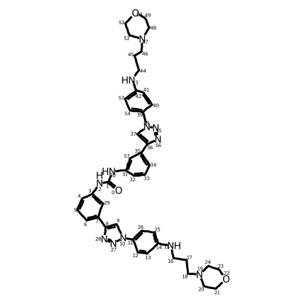 O=C(Nc1cccc(-c2cn(-c3ccc(NCCCN4CCOCC4)cc3)nn2)c1)Nc1cccc(-c2cn(-c3ccc(NCCCN4CCOCC4)cc3)nn2)c1